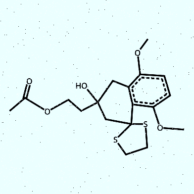 COc1ccc(OC)c2c1CC(O)(CCOC(C)=O)CC21SCCS1